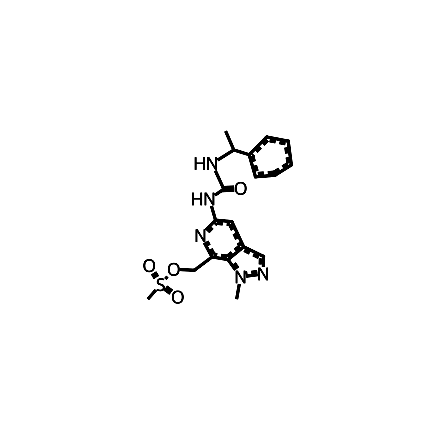 CC(NC(=O)Nc1cc2cnn(C)c2c(COS(C)(=O)=O)n1)c1ccccc1